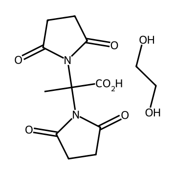 CC(C(=O)O)(N1C(=O)CCC1=O)N1C(=O)CCC1=O.OCCO